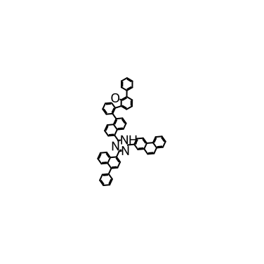 c1ccc(-c2ccc(C3=NC(c4ccc5c(ccc6ccccc65)c4)NC(c4cccc5c(-c6cccc7oc8c(-c9ccccc9)cccc8c67)cccc45)=N3)c3ccccc23)cc1